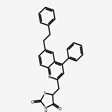 O=C1NC(=O)C(Cc2cc(-c3ccccc3)c3cc(CCc4ccccc4)ccc3n2)S1